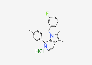 Cc1ccc(-c2nccc3c(C)c(C)n(Cc4cccc(F)c4)c23)cc1.Cl